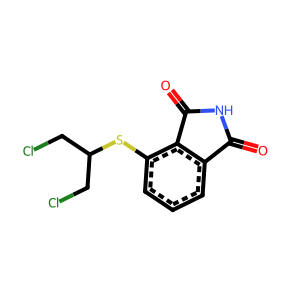 O=C1NC(=O)c2c(SC(CCl)CCl)cccc21